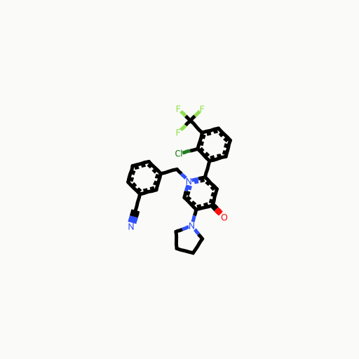 N#Cc1cccc(Cn2cc(N3CCCC3)c(=O)cc2-c2cccc(C(F)(F)F)c2Cl)c1